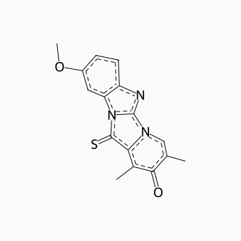 COc1ccc2nc3n4cc(C)c(=O)c(C)c4c(=S)n3c2c1